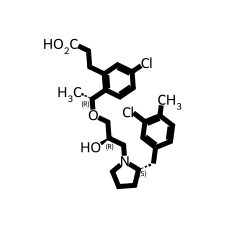 Cc1ccc(C[C@@H]2CCCN2C[C@@H](O)CO[C@H](C)c2ccc(Cl)cc2CCC(=O)O)cc1Cl